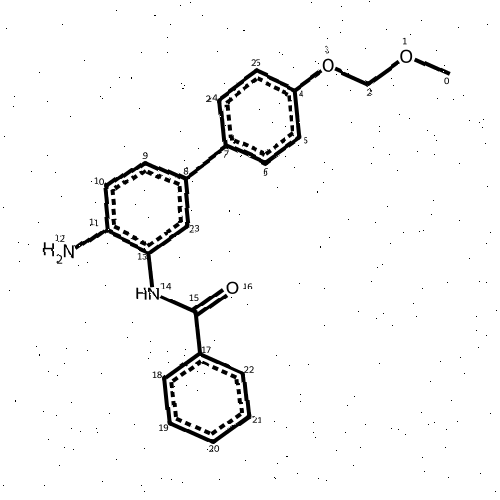 COCOc1ccc(-c2ccc(N)c(NC(=O)c3ccccc3)c2)cc1